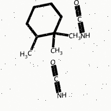 CC1CCCCC1(C)C.N=C=O.N=C=O